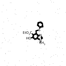 CCOC(=O)c1c(O)cc2c(ncn2C)c1CSc1ccccc1